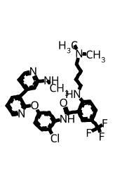 CNc1cc(-c2cccnc2Oc2ccc(Cl)c(NC(=O)c3cc(C(F)(F)F)ccc3NCCCCN(C)C)c2)ccn1